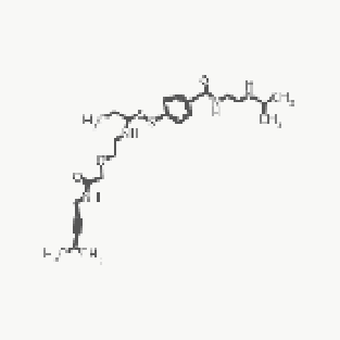 CCC(NCCOCC(=O)NCC#CC(C)C)SSc1ccc(C(=O)NCCNC(C)C)cc1